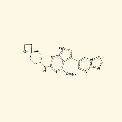 COc1nc(N[C@H]2CC[C@@]3(CCO3)CC2)nc2[nH]cc(-c3cnc4nccn4c3)c12